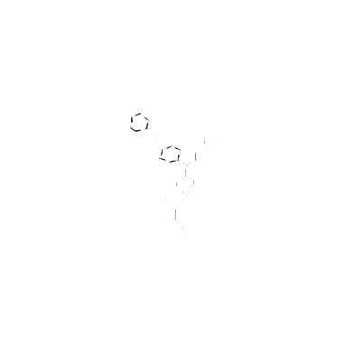 CCC(C)C(N)CN1CCC(N(CCC(C)C)c2ccc(OCc3ccccc3)cc2)CC1